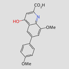 COc1ccc(-c2cc(OC)c3nc(C(=O)O)cc(O)c3c2)cc1